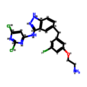 NCCOc1cc(F)cc(Cc2ccc3[nH]nc(Nc4cc(Cl)nc(Cl)n4)c3c2)c1